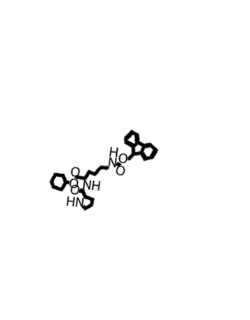 O=C(NCCCCC(NC(=O)C1CCCN1)C(=O)OC1CCCCC1)OCC1c2ccccc2-c2ccccc21